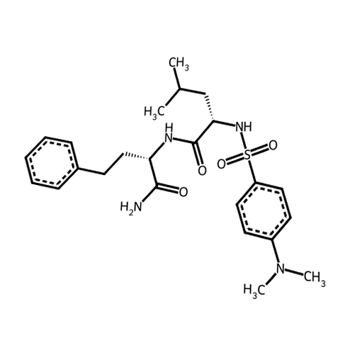 CC(C)C[C@H](NS(=O)(=O)c1ccc(N(C)C)cc1)C(=O)N[C@@H](CCc1ccccc1)C(N)=O